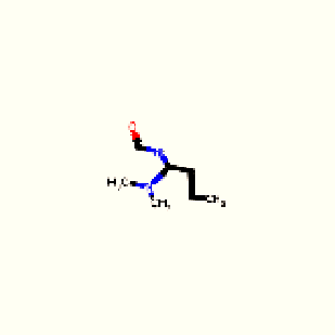 CCCC([N]C=O)N(C)C